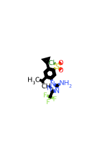 CC(C)c1cc(C2CC2)c(S(=O)(=O)Cl)cc1-n1nc(C(F)(F)F)nc1N